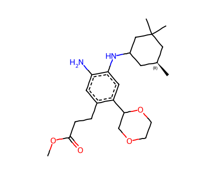 COC(=O)CCc1cc(N)c(NC2C[C@H](C)CC(C)(C)C2)cc1C1COCCO1